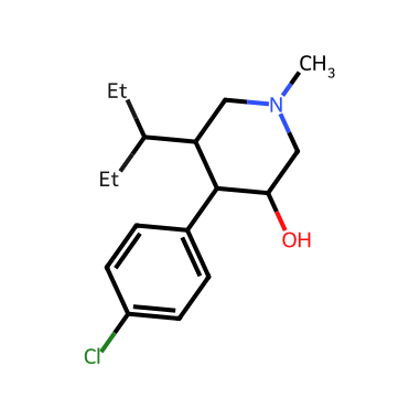 CCC(CC)C1CN(C)CC(O)C1c1ccc(Cl)cc1